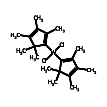 CC1=C(C)C(C)(C)[C]([W]([Cl])([Cl])[C]2=C(C)C(C)=C(C)C2(C)C)=C1C